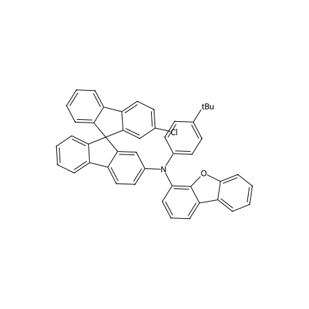 CC(C)(C)c1ccc(N(c2ccc3c(c2)C2(c4ccccc4-c4ccc(Cl)cc42)c2ccccc2-3)c2cccc3c2oc2ccccc23)cc1